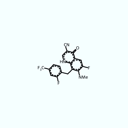 CNc1c(F)cc2c(=O)c(C#N)c[nH]c2c1Cc1ccc(C(F)(F)F)cc1F